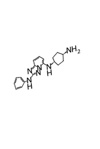 N[C@H]1CC[C@@H](Nc2cccc3nc(Nc4ccccc4)nn23)CC1